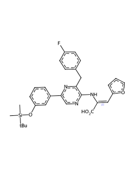 CC(C)(C)[Si](C)(C)Oc1cccc(-c2cnc(N/C(=C\c3ccco3)C(=O)O)c(Cc3ccc(F)cc3)n2)c1